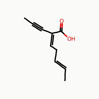 CC#CC(=CCC=CC)C(=O)O